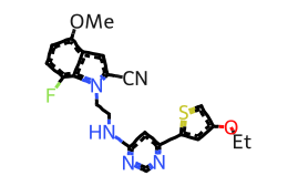 CCOc1csc(-c2cc(NCCn3c(C#N)cc4c(OC)ccc(F)c43)ncn2)c1